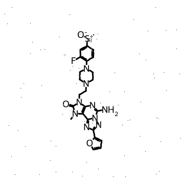 Cn1c(=O)n(CCN2CCN(c3ccc([S@@+](C)[O-])cc3F)CC2)c2nc(N)n3nc(-c4ccco4)nc3c21